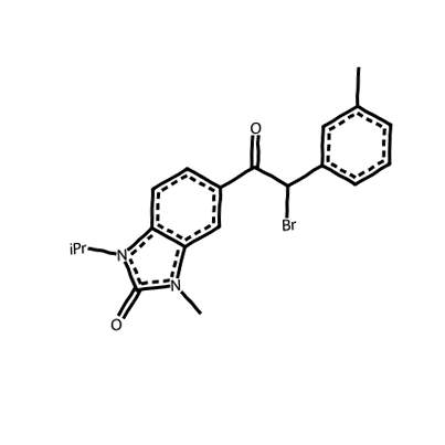 Cc1cccc(C(Br)C(=O)c2ccc3c(c2)n(C)c(=O)n3C(C)C)c1